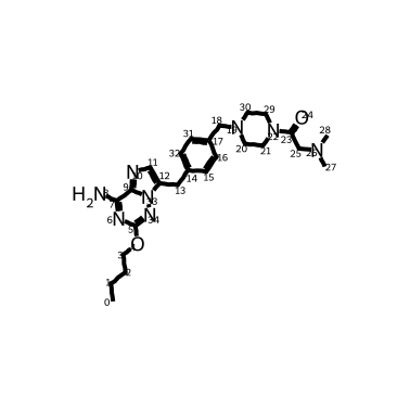 CCCCOc1nc(N)c2ncc(Cc3ccc(CN4CCN(C(=O)CN(C)C)CC4)cc3)n2n1